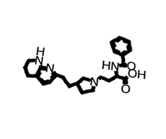 O=C(NC(CCN1CCC(CCc2ccc3c(n2)NCCC3)C1)C(=O)O)c1ccccc1